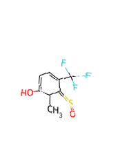 CC1C(O)=CC=C(C(F)(F)F)C1=S=O